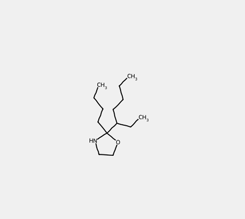 CCCCC(CC)C1(CCCC)NCCO1